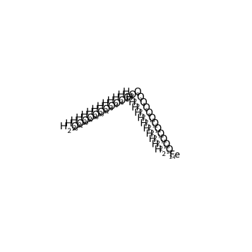 O.O.O.O.O.O.O.O.O.O.O.O.O.O.O.O.O.O.O.O.O.O.O.O.[Fe]